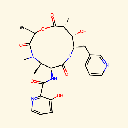 CC(C)C1OC(=O)[C@H](C)[C@H](O)[C@H](Cc2cccnc2)NC(=O)[C@@H](NC(=O)c2ncccc2O)[C@@H](C)N(C)C1=O